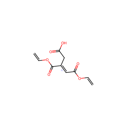 C=COC(=O)/C=C(\CC(=O)O)C(=O)OC=C